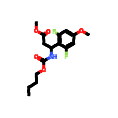 CCCCOC(=O)NC(CC(=O)OC)c1c(F)cc(OC)cc1F